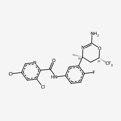 C[C@@]1(c2cc(NC(=O)c3ncc(Cl)cc3Cl)ccc2F)C[C@@H](C(F)(F)F)OC(N)=N1